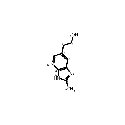 Cc1nc2cc(CCO)cnc2[nH]1